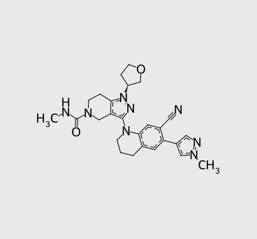 CNC(=O)N1CCc2c(c(N3CCCc4cc(-c5cnn(C)c5)c(C#N)cc43)nn2[C@H]2CCOC2)C1